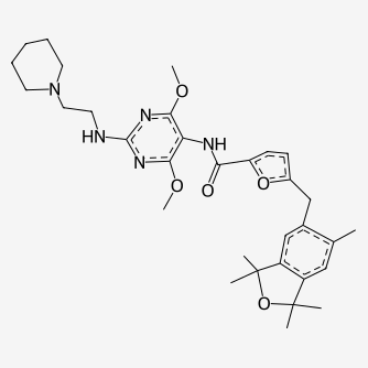 COc1nc(NCCN2CCCCC2)nc(OC)c1NC(=O)c1ccc(Cc2cc3c(cc2C)C(C)(C)OC3(C)C)o1